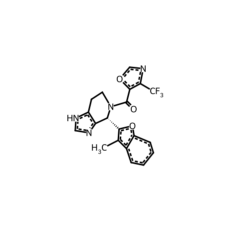 Cc1c([C@@H]2c3nc[nH]c3CCN2C(=O)c2ocnc2C(F)(F)F)oc2ccccc12